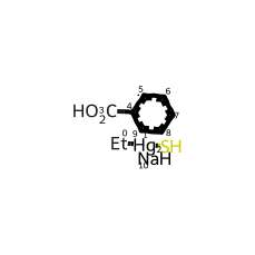 C[CH2][Hg][SH].O=C(O)c1[c]cccc1.[NaH]